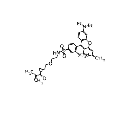 C=C(C)C(=O)OCCOCCNS(=O)(=O)c1ccc(C2=c3ccc(=C)cc3Oc3cc(N(CC)CC)ccc32)c(S(=O)(=O)O)c1